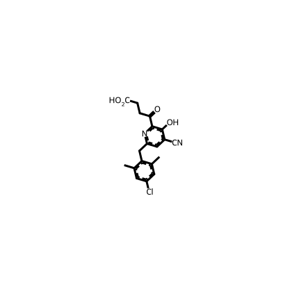 Cc1cc(Cl)cc(C)c1Cc1cc(C#N)c(O)c(C(=O)CCC(=O)O)n1